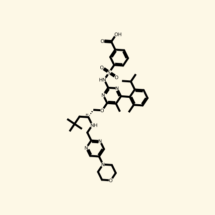 Cc1cccc(C(C)C)c1-c1nc(NS(=O)(=O)c2cccc(C(=O)O)c2)nc(OC[C@@H](CC(C)(C)C)NCc2ncc(N3CCOCC3)cn2)c1C